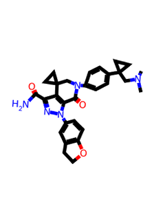 CN(C)CC1(c2ccc(N3CC4(CC4)c4c(C(N)=O)nn(-c5ccc6c(c5)CCO6)c4C3=O)cc2)CC1